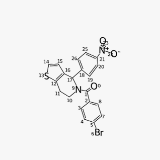 O=C(c1ccc(Br)cc1)N1CCc2sccc2C1c1ccc([N+](=O)[O-])cc1